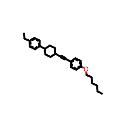 CCCCCCOc1ccc(C#CC2CCC(c3ccc(CC)cc3)CC2)cc1